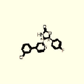 O=C1N[C@@H](c2cc(-c3cccc(Cl)c3)ccn2)[C@H](c2ccc(F)cc2)O1